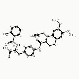 COc1cc2c(cc1OC)C(CC#N)N(C(=S)Oc1ccc(C[C@H](NC(=O)c3ccccc3Cl)C(=O)O)cc1)CC2